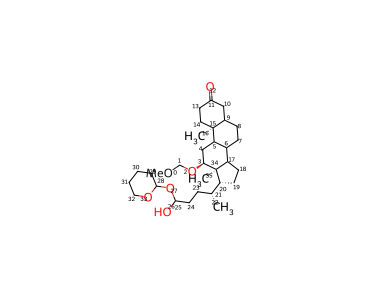 COCO[C@H]1CC2C(CCC3CC(=O)CC[C@@]32C)C2CC[C@H]([C@H](C)CCC(O)OC3CCCCO3)[C@]21C